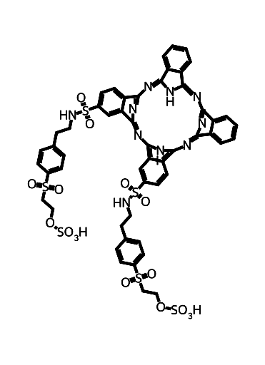 O=S(=O)(O)OCCS(=O)(=O)c1ccc(CCNS(=O)(=O)c2ccc3c(c2)-c2nc-3nc3[nH]c(nc4nc(nc5[nH]c(n2)c2cc(S(=O)(=O)NCCc6ccc(S(=O)(=O)CCOS(=O)(=O)O)cc6)ccc52)-c2ccccc2-4)c2ccccc32)cc1